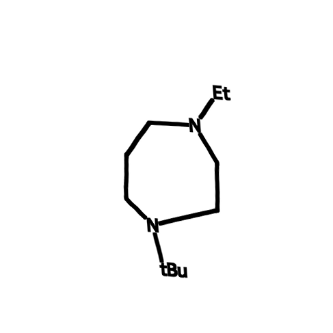 CCN1CCCN(C(C)(C)C)CC1